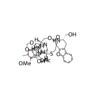 COc1c(C)cc2c(c1O)[C@H]1[C@@H]3[C@@H]4SC[C@]5(N[C@H](CO)Cc6c5oc5ccccc65)C(=O)OC[C@@H](c5c6c(c(C)c(OC(C)=O)c54)OCO6)N3[C@@]3(O)C2[C@@H]3N1C